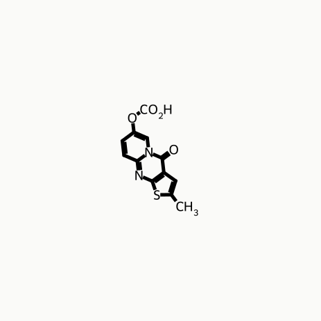 Cc1cc2c(=O)n3cc(OC(=O)O)ccc3nc2s1